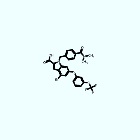 CN(C)C(=O)c1ccc(Cn2c(C(=O)O)cc3c(Br)cc(Sc4cccc(OC(F)(F)F)c4)cc32)cc1